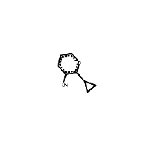 N#Cc1cccnc1C1CC1